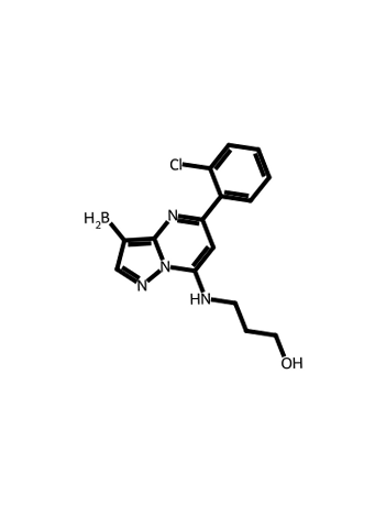 Bc1cnn2c(NCCCO)cc(-c3ccccc3Cl)nc12